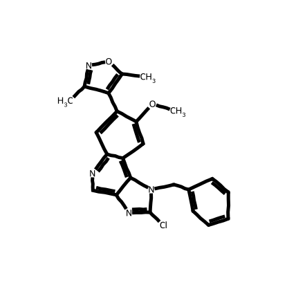 COc1cc2c(cc1-c1c(C)noc1C)ncc1nc(Cl)n(Cc3ccccc3)c12